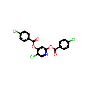 O=C(Oc1cc(OC(=O)c2ccc(Cl)cc2)c(Cl)cn1)c1ccc(Cl)cc1